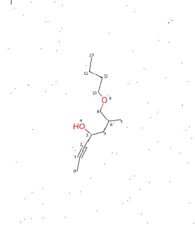 CC#CC(O)CC(C)COCCCC